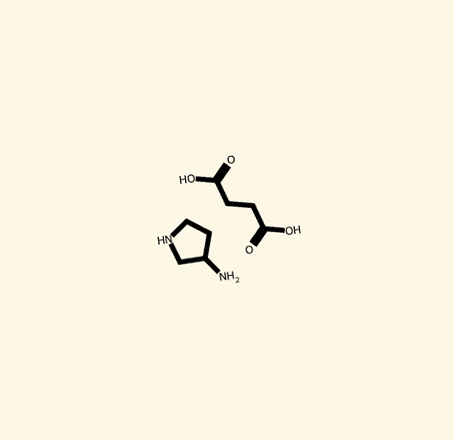 NC1CCNC1.O=C(O)CCC(=O)O